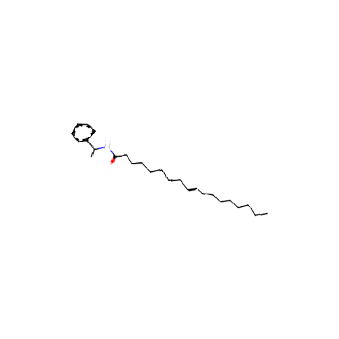 CCCCCCCCC=CCCCCCCCC(=O)NC(C)c1ccccc1